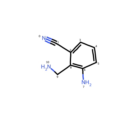 N#Cc1cccc(N)c1CN